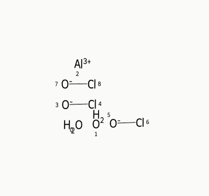 O.O.[Al+3].[O-]Cl.[O-]Cl.[O-]Cl